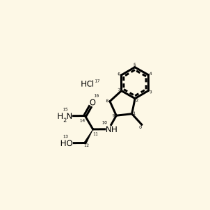 CC1c2ccccc2CC1N[C@@H](CO)C(N)=O.Cl